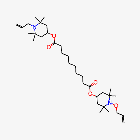 C=CCON1C(C)(C)CC(OC(=O)CCCCCCCCC(=O)OC2CC(C)(C)N(CC=C)C(C)(C)C2)CC1(C)C